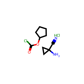 Cl.N#CC1(N)CC1.O=C(Cl)OC1CCCC1